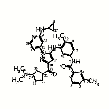 Cc1cccc(C(=O)Nc2ccc(C)c(Nc3cc(C(=O)C4CCC(N(C)C)C4)nn3-c3cc(NC4CC4)ncn3)c2)c1